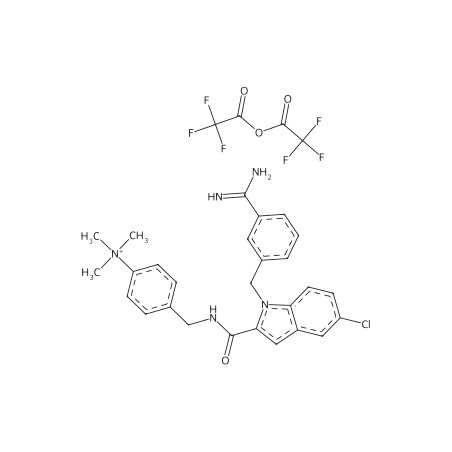 C[N+](C)(C)c1ccc(CNC(=O)c2cc3cc(Cl)ccc3n2Cc2cccc(C(=N)N)c2)cc1.O=C(OC(=O)C(F)(F)F)C(F)(F)F